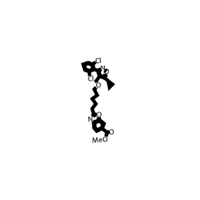 COC(=O)c1ccc2nc(CCCCCOCc3c(-c4c(Cl)cccc4Cl)noc3C3CC3)oc2c1